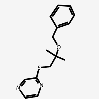 CC(C)(CSc1cnccn1)OCc1ccccc1